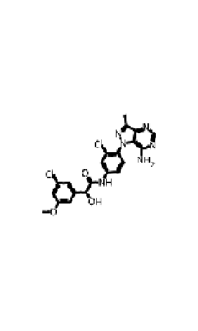 COc1cc(Cl)cc(C(O)C(=O)Nc2ccc(-n3nc(C)c4ncnc(N)c43)c(Cl)c2)c1